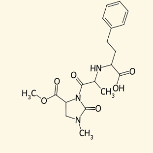 COC(=O)C1CN(C)C(=O)N1C(=O)C(C)NC(CCc1ccccc1)C(=O)O